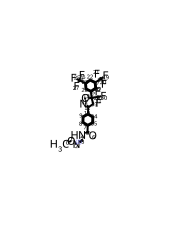 CO/N=C\NC(=O)c1ccc(C2=NOC(c3cc(C(F)(F)F)cc(C(F)(F)F)c3)(C(F)(F)F)C2)cc1